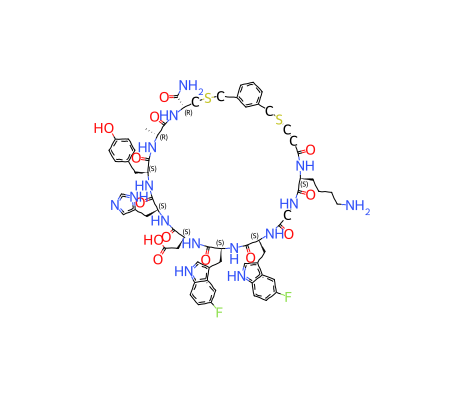 C[C@H]1NC(=O)[C@H](Cc2ccc(O)cc2)NC(=O)[C@H](Cc2cnc[nH]2)NC(=O)[C@H](CC(=O)O)NC(=O)[C@H](Cc2c[nH]c3ccc(F)cc23)NC(=O)[C@H](Cc2c[nH]c3ccc(F)cc23)NC(=O)CNC(=O)[C@H](CCCCN)NC(=O)CCSCc2cccc(c2)CSC[C@@H](C(N)=O)NC1=O